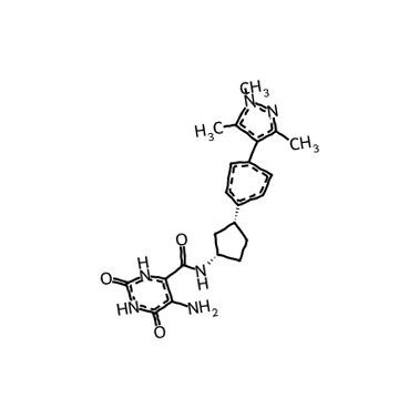 Cc1nn(C)c(C)c1-c1ccc([C@@H]2CC[C@H](NC(=O)c3[nH]c(=O)[nH]c(=O)c3N)C2)cc1